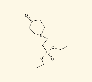 CCOP(=O)(CCN1CCC(=O)CC1)OCC